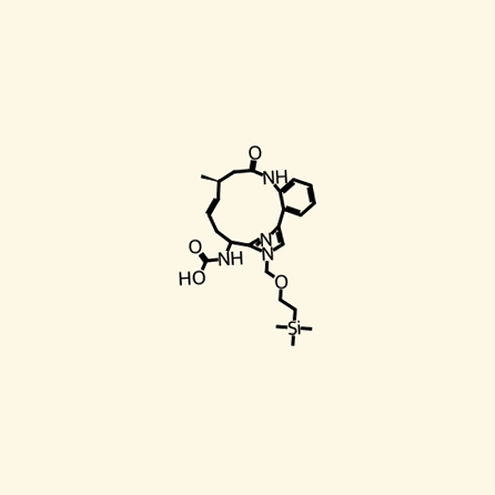 C[C@@H]1/C=C/CC(NC(=O)O)c2nc(cn2COCC[Si](C)(C)C)-c2ccccc2NC(=O)C1